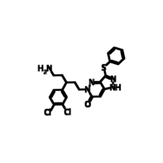 NCCC(CCn1nc2c(Sc3ccccc3)n[nH]c2cc1=O)c1ccc(Cl)c(Cl)c1